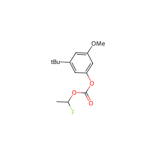 COc1cc(OC(=O)OC(C)F)cc(C(C)(C)C)c1